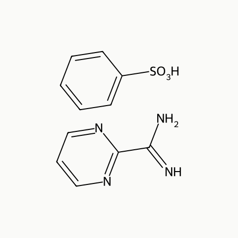 N=C(N)c1ncccn1.O=S(=O)(O)c1ccccc1